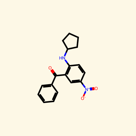 O=C(c1ccccc1)c1cc([N+](=O)[O-])ccc1NC1CCCC1